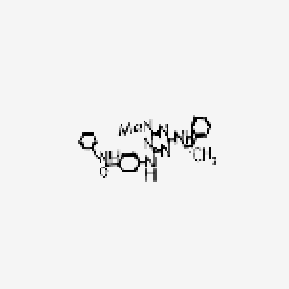 CNc1nc(NC[C@H](C)c2ccccc2)nc(NC2CCC(C(=O)NCc3ccccc3)CC2)n1